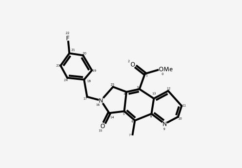 COC(=O)c1c2c(c(C)c3ncccc13)C(=O)N(Cc1ccc(F)cc1)C2